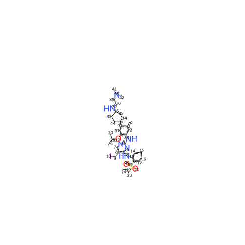 Cc1cc(Nc2ncc(CI)c(Nc3ccccc3S(=O)(=O)C(C)C)n2)c(OC(C)C)cc1C1CCC(NCCN(C)C)CC1